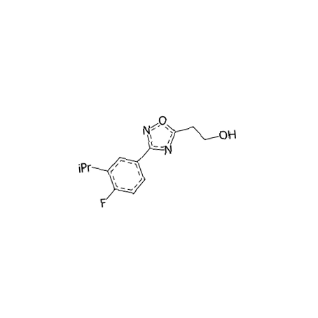 CC(C)c1cc(-c2noc(CCO)n2)ccc1F